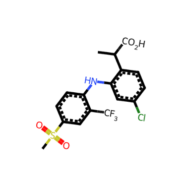 CC(C(=O)O)c1ccc(Cl)cc1Nc1ccc(S(C)(=O)=O)cc1C(F)(F)F